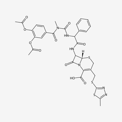 CC(=O)Oc1ccc(C(=O)N(C)C(=O)NC(C(=O)NC2C(=O)N3C(C(=O)O)=C(CSc4nnc(C)s4)CS[C@@H]23)c2ccccc2)cc1OC(C)=O